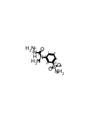 NNC(=O)N(N)c1cccc(S(N)(=O)=O)c1